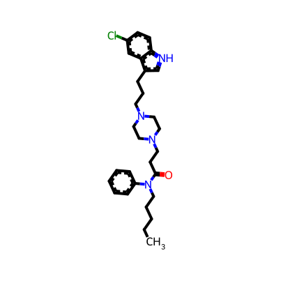 CCCCCN(C(=O)CCN1CCN(CCCc2c[nH]c3ccc(Cl)cc23)CC1)c1ccccc1